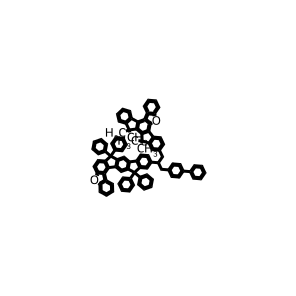 CC1(C)c2cc(CC(Cc3ccc(-c4ccccc4)cc3)c3ccc4c(c3)C(c3ccccc3)(c3ccccc3)c3cc5c(cc3-4)C(c3ccccc3)(c3ccccc3)c3ccc4oc6ccccc6c4c3-5)ccc2-c2c1c1c(c3c2oc2ccccc23)-c2ccccc2C1(C)C